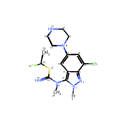 CCn1nc2c(Cl)cc(N3CCNCC3)cc2c1N(C)C(=N)SC(C)F